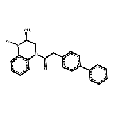 CC(=O)N1c2ccccc2N(C(=O)Cc2ccc(-c3ccccc3)cc2)C[C@@H]1C